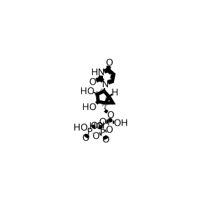 O=c1ccn([C@H]2[C@@H](O)C(O)[C@]3(COP(=O)(O)OP(=O)(O)OP(=O)(O)O)C[C@@H]23)c(=O)[nH]1